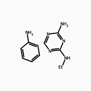 CCNc1ncnc(N)n1.Nc1ccccc1